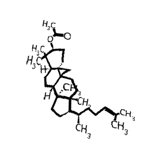 CC(=O)O[C@H]1CC[C@]23CC24CC[C@]2(C)[C@@H]([C@H](C)CCC=C(C)C)CC[C@@]2(C)[C@@H]4CC[C@H]3C1(C)C